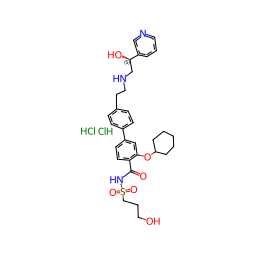 Cl.Cl.O=C(NS(=O)(=O)CCCO)c1ccc(-c2ccc(CCNC[C@@H](O)c3cccnc3)cc2)cc1OC1CCCCC1